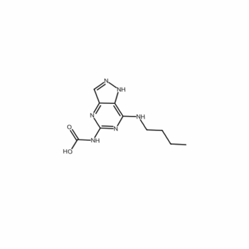 CCCCNc1nc(NC(=O)O)nc2cn[nH]c12